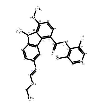 CCO/C=N/c1ccc2c(c1)c1c(C(=O)Nc3c(Cl)cncc3Cl)ccc(OC)c1n2C